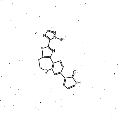 CC(C)n1ncnc1-c1nc2c(s1)CCOc1cc(-c3ccc[nH]c3=O)ccc1-2